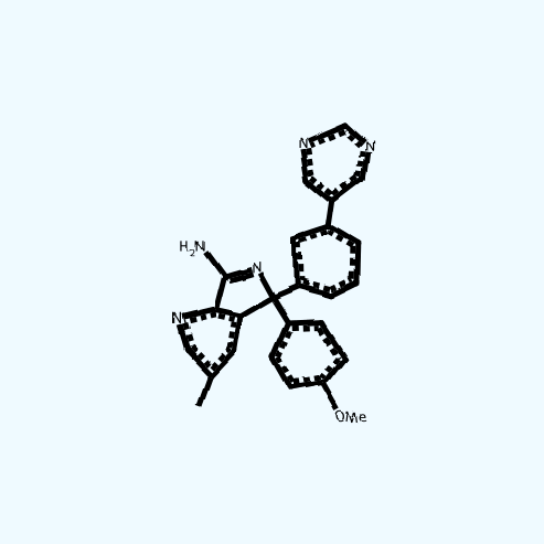 COc1ccc(C2(c3cccc(-c4cncnc4)c3)N=C(N)c3ncc(C)cc32)cc1